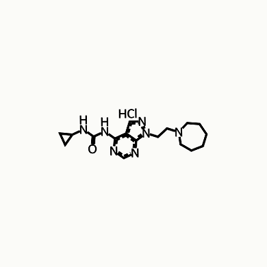 Cl.O=C(Nc1ncnc2c1cnn2CCN1CCCCCC1)NC1CC1